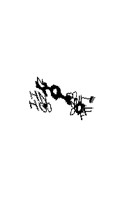 O=C(O)NCc1ccncc1-c1ccc(C(=O)CN2C(=O)NC3(CCC(F)(F)CC3)C2=O)cc1